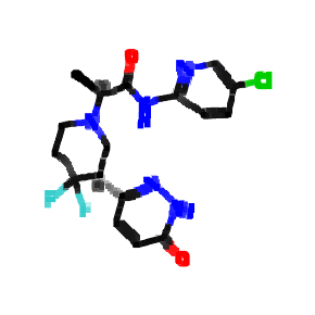 C[C@@H](C(=O)Nc1ccc(Cl)cn1)N1CCC(F)(F)[C@@H](c2ccc(=O)[nH]n2)C1